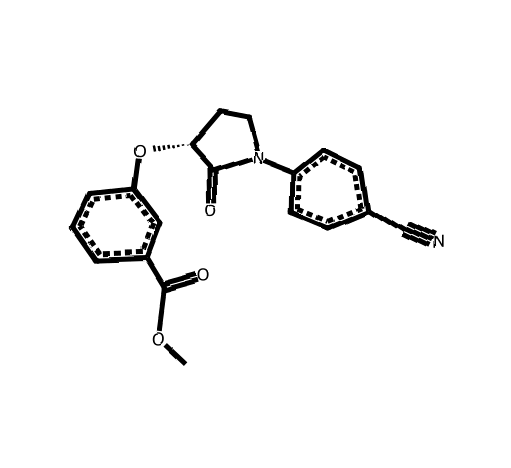 COC(=O)c1cccc(O[C@@H]2CCN(c3ccc(C#N)cc3)C2=O)c1